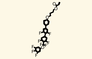 C=CC(=O)OCCCCOc1ccc(-c2cc(F)c(-c3cc(F)c(C(F)(F)Oc4cc(F)c(F)c(F)c4)c(F)c3)c(F)c2)cc1